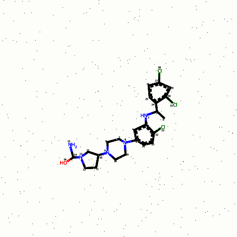 CC(Nc1cc(N2CCN(C3CCN(C(N)O)C3)CC2)ccc1Cl)c1ccc(Cl)cc1Cl